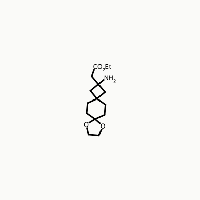 CCOC(=O)CC1(N)CC2(CCC3(CC2)OCCO3)C1